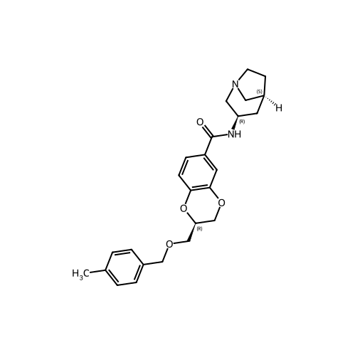 Cc1ccc(COC[C@@H]2COc3cc(C(=O)N[C@@H]4C[C@@H]5CCN(C5)C4)ccc3O2)cc1